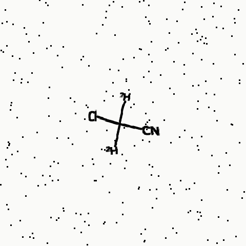 [2H]C([2H])(Cl)C#N